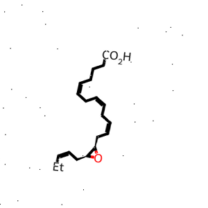 CC/C=C\C[C@@H]1O[C@@H]1C/C=C\C/C=C\C/C=C\CCCC(=O)O